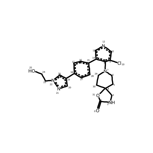 O=C1NCC2(CCN(c3c(Cl)cncc3-c3ccc(-c4cnn(CCO)c4)cc3)CC2)O1